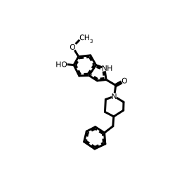 COc1cc2[nH]c(C(=O)N3CCC(Cc4ccccc4)CC3)cc2cc1O